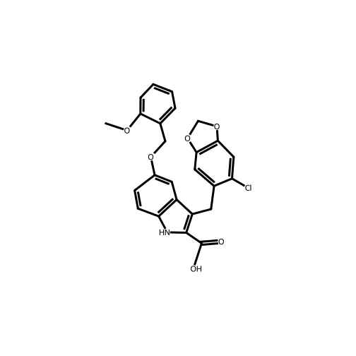 COc1ccccc1COc1ccc2[nH]c(C(=O)O)c(Cc3cc4c(cc3Cl)OCO4)c2c1